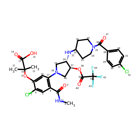 CNC(=O)c1cc(Cl)c(OC(C)(C)C(=O)O)cc1N1C[C@H](NC2CCN(C(=O)c3ccc(Cl)cc3)CC2)[C@@H](OC(=O)C(F)(F)F)C1